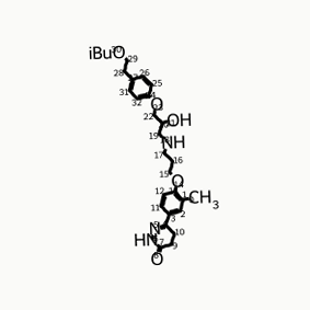 Cc1cc(C2=NNC(=O)CC2)ccc1OCCCNCC(O)COc1ccc(CCOCC(C)C)cc1